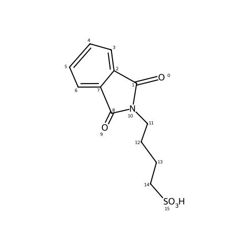 O=C1c2ccccc2C(=O)N1CCCCS(=O)(=O)O